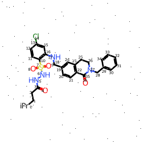 CC(C)CCC(=O)NNS(=O)(=O)c1ccc(Cl)cc1NCc1ccc2c(c1)CCN(Cc1ccccc1)C2=O